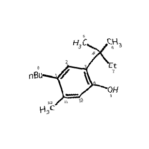 CCCCc1cc(C(C)(C)CC)c(O)cc1C